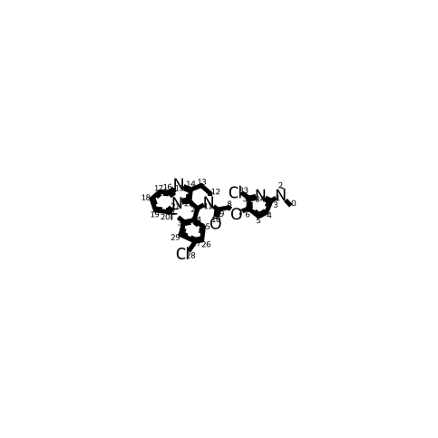 CN(C)c1ccc(OCC(=O)N2CCc3nc4ccccn4c3C2c2ccc(Cl)cc2F)c(Cl)n1